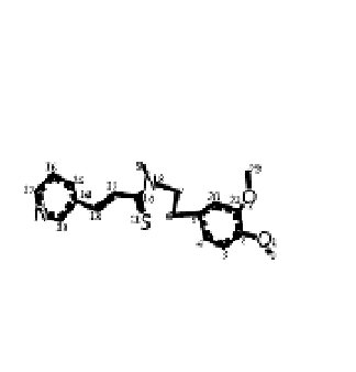 COc1ccc(CCN(C)C(=S)/C=C/c2cccnc2)cc1OC